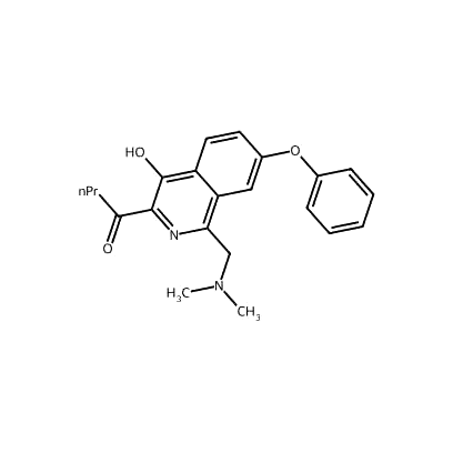 CCCC(=O)c1nc(CN(C)C)c2cc(Oc3ccccc3)ccc2c1O